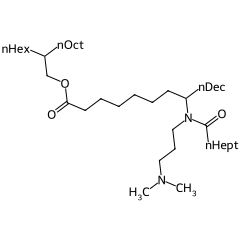 CCCCCCCCCCC(CCCCCCC(=O)OCC(CCCCCC)CCCCCCCC)N(CCCN(C)C)C(=O)CCCCCCC